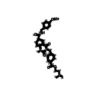 COc1ccc(CNC(=O)c2ccc3c(c2)c(=O)n(Cc2ccc(C(=O)OCCN(C)C)cc2)c(=O)n3C)cc1